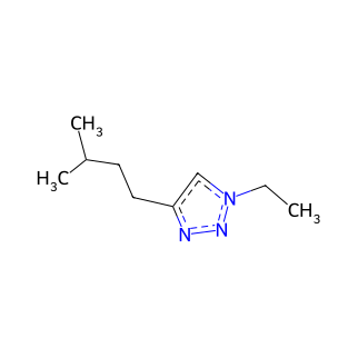 CCn1cc(CCC(C)C)nn1